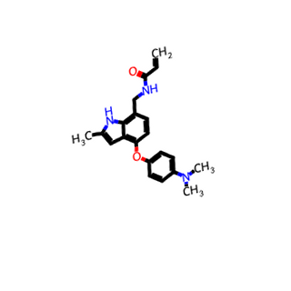 C=CC(=O)NCc1ccc(Oc2ccc(N(C)C)cc2)c2cc(C)[nH]c12